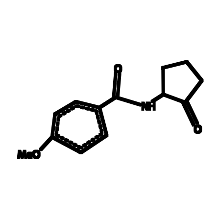 COc1ccc(C(=O)NC2CCCC2=O)cc1